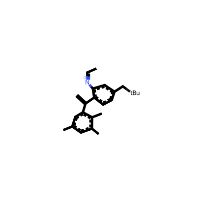 C=C(c1ccc(CC(C)(C)C)cc1/N=C\C)c1cc(C)cc(C)c1C